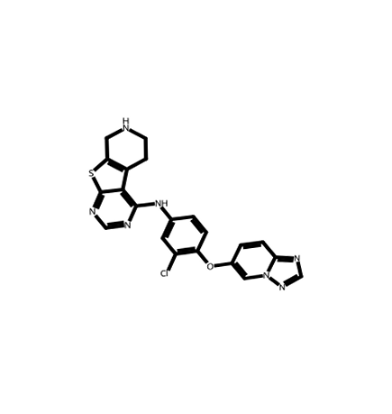 Clc1cc(Nc2ncnc3sc4c(c23)CCNC4)ccc1Oc1ccc2ncnn2c1